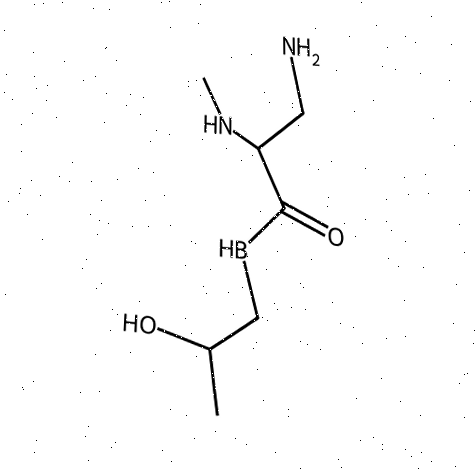 CNC(CN)C(=O)BCC(C)O